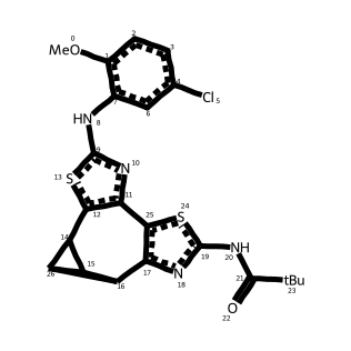 COc1ccc(Cl)cc1Nc1nc2c(s1)C1C3C(c4nc(NC(=O)C(C)(C)C)sc4-2)C13